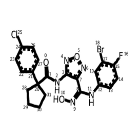 O=C(Nc1nonc1/C(=N\O)Nc1ccc(F)c(Br)c1)C1(c2ccc(Cl)cc2)CCCC1